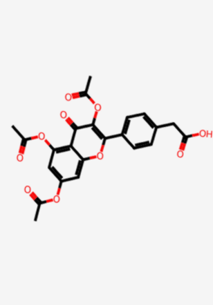 CC(=O)Oc1cc(OC(C)=O)c2c(=O)c(OC(C)=O)c(-c3ccc(CC(=O)O)cc3)oc2c1